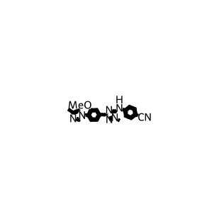 COc1cc(-c2nc(Nc3ccc(C#N)cc3)n(C)n2)ccc1-n1cnc(C)c1